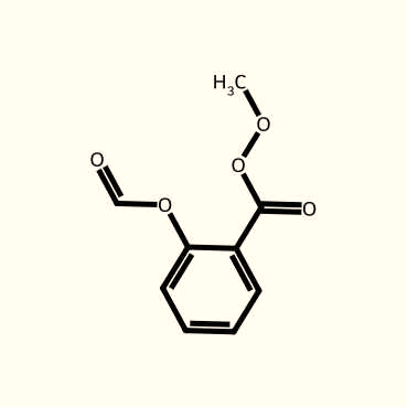 COOC(=O)c1ccccc1OC=O